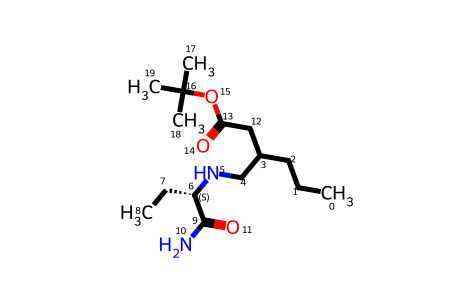 CCCC(CN[C@@H](CC)C(N)=O)CC(=O)OC(C)(C)C